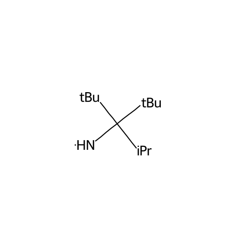 CC(C)C([NH])(C(C)(C)C)C(C)(C)C